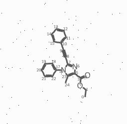 CCOC(=O)c1nc(C#Cc2ccccc2)n(-c2ccccc2)c1C